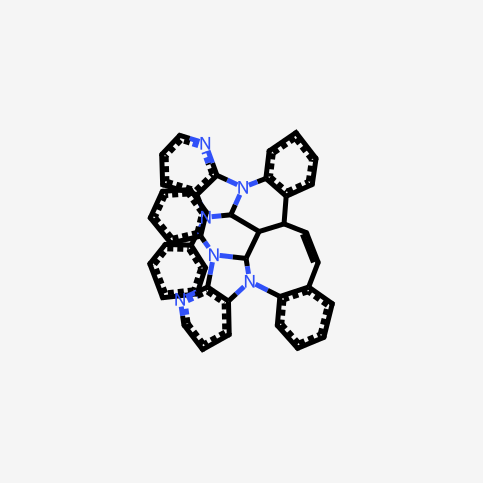 C1=CC2c3ccccc3N3c4ncccc4N(c4ccccc4)C3C2C2N(c3ccccc31)c1cccnc1N2c1ccccc1